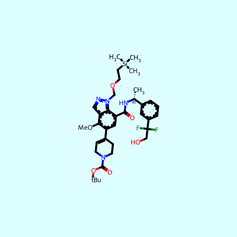 COc1c(C2=CCN(C(=O)OC(C)(C)C)CC2)cc(C(=O)N[C@H](C)c2cccc(C(F)(F)CO)c2)c2c1cnn2COCC[Si](C)(C)C